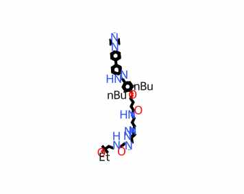 CCCCc1cc(-c2nc3cc(-c4ccc(N5CCN(C)CC5)cc4)ccc3[nH]2)cc(CCCC)c1OCCCC(=O)NCCCn1cc(CN(C)CC(=O)NCCC(C)(C)OCC)nn1